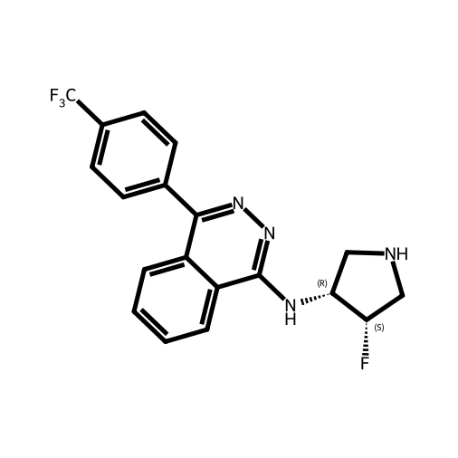 F[C@H]1CNC[C@H]1Nc1nnc(-c2ccc(C(F)(F)F)cc2)c2ccccc12